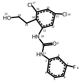 O=C(Nc1cccc(F)c1)Nc1cc(Cl)cc(Cl)c1CCO